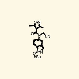 CCCCOn1ncc2cc(N(CC#N)C(=O)c3c(C)noc3C)ccc21